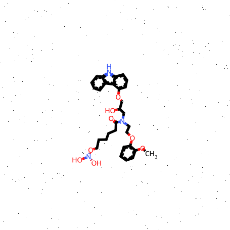 COc1ccccc1OCCN(CC(O)COc1cccc2[nH]c3ccccc3c12)C(=O)CCCCCON(O)O